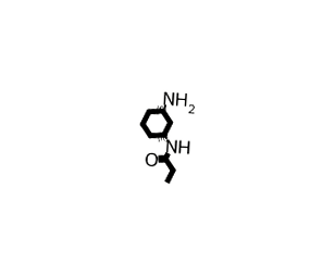 CCC(=O)N[C@@H]1CCC[C@H](N)C1